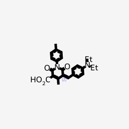 CCN(CC)c1ccc(/C=C2\C(=O)N(c3ccc(C)cc3)C(=O)C(C(=O)O)=C2C)cc1